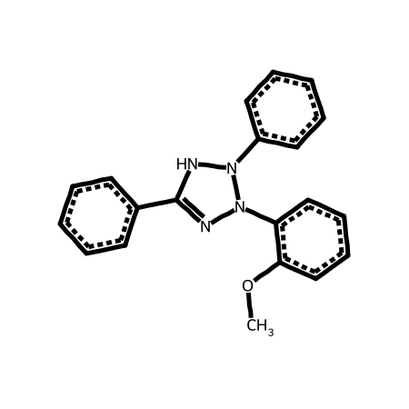 COc1ccccc1N1N=C(c2ccccc2)NN1c1ccccc1